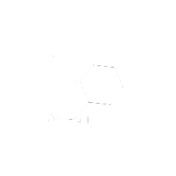 [Cl-].[Cl-].[Zr+2][SiH2]C1CCCCC1